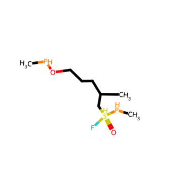 CPOCCCC(C)C[SH](=O)(F)PC